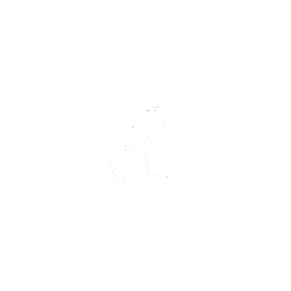 Nc1ccccn1.c1cscn1